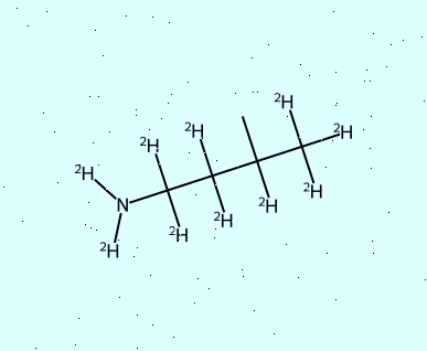 [2H]N([2H])C([2H])([2H])C([2H])([2H])C([2H])(C)C([2H])([2H])[2H]